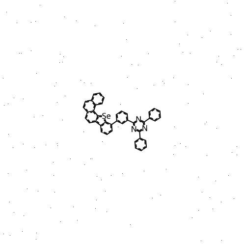 c1ccc(-c2nc(-c3ccccc3)nc(-c3cccc(-c4cccc5c4[se]c4c5ccc5ccc6ccccc6c54)c3)n2)cc1